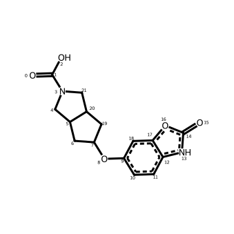 O=C(O)N1CC2CC(Oc3ccc4[nH]c(=O)oc4c3)CC2C1